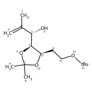 C=C(C)[C@H](O)[C@@H]1OC(C)(C)O[C@@H]1CCOC(C)(C)C